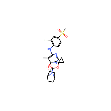 Cc1c(Nc2ccc(S(C)(=O)=O)cc2F)ncnc1O[C@@H]1CC2CCC1N2C(=O)OC1(C)CC1